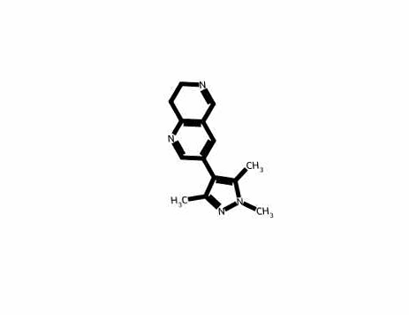 Cc1nn(C)c(C)c1-c1cnc2c(c1)C=NCC2